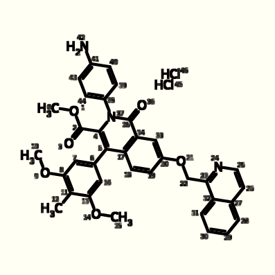 COC(=O)c1c(-c2cc(OC)c(C)c(OC)c2)c2ccc(OCc3nccc4ccccc34)cc2c(=O)n1-c1ccc(N)cc1.Cl.Cl